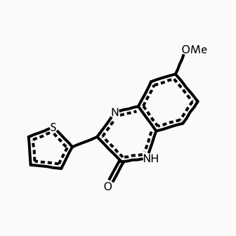 COc1ccc2[nH]c(=O)c(-c3cccs3)nc2c1